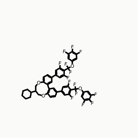 Fc1cc(OC(F)(F)c2c(F)cc(-c3ccc4c(c3)-c3cc(-c5cc(F)c(C(F)(F)Oc6cc(F)c(F)c(F)c6)c(F)c5)ccc3OCC(C3CCCCC3)CO4)cc2F)cc(F)c1F